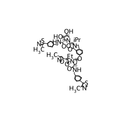 CC[C@@H](C(=O)N1C[C@H](Oc2ccc3c(c2)C(=O)N([C@H](C(=O)N2C[C@H](O)[C@H](O)[C@H]2C(=O)NCc2ccc(-c4scnc4C)cc2)C(C)C)C3)C[C@H]1C(=O)NCc1ccc(-c2scnc2C)cc1)c1cc(C)no1